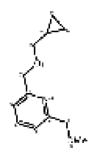 COCc1cccc(COCC2CC2)n1